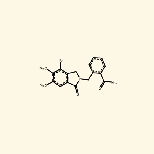 COc1cc2c(c(Br)c1OC)CN(Cc1ccccc1C(N)=O)C2=O